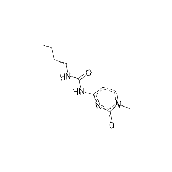 CCCCNC(=O)Nc1ccn(C)c(=O)n1